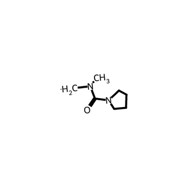 [CH2]N(C)C(=O)N1CCCC1